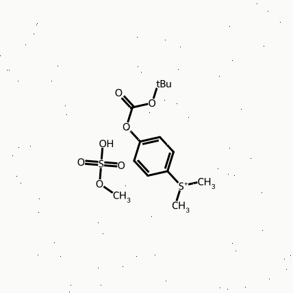 COS(=O)(=O)O.C[S+](C)c1ccc(OC(=O)OC(C)(C)C)cc1